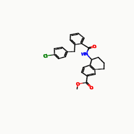 COC(=O)c1ccc2c(c1)CCCC2NC(=O)c1ccccc1Cc1ccc(Cl)cc1